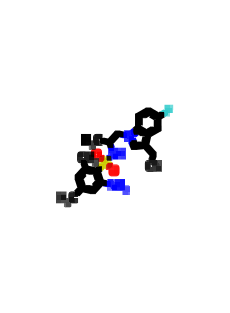 Cc1cc(C)c(S(=O)(=O)NC(C)Cn2cc(CC#N)c3cc(F)ccc32)c(N)c1